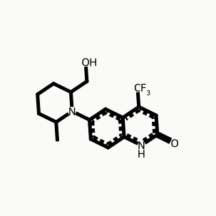 CC1CCCC(CO)N1c1ccc2[nH]c(=O)cc(C(F)(F)F)c2c1